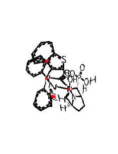 CN(Cc1csc2ccccc12)C(O)N1[C@H]2CC[C@@H]1[C@@H](P(=O)(O)O)N(C(=O)N(c1ccccc1)c1ccccc1)C2